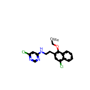 COCOc1c(CCNc2cc(Cl)ncn2)cc(Cl)c2ccccc12